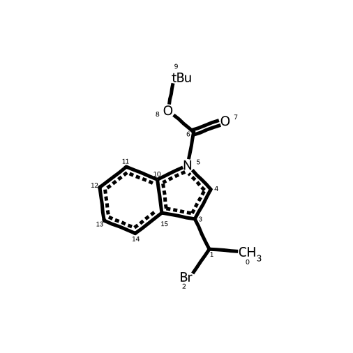 CC(Br)c1cn(C(=O)OC(C)(C)C)c2ccccc12